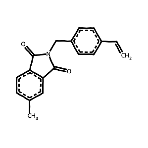 C=Cc1ccc(CN2C(=O)c3ccc(C)cc3C2=O)cc1